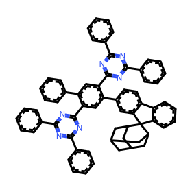 c1ccc(-c2nc(-c3ccccc3)nc(-c3cc(-c4ccc5c(c4)C4(c6ccccc6-5)C5CC6CC(C5)CC4C6)c(-c4nc(-c5ccccc5)nc(-c5ccccc5)n4)cc3-c3ccccc3)n2)cc1